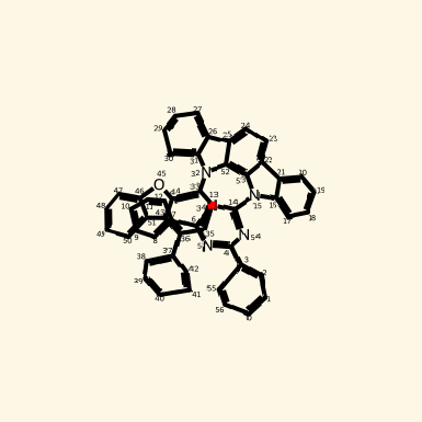 c1ccc(-c2nc(-c3ccccc3)nc(-n3c4ccccc4c4ccc5c6ccccc6n(-c6ccc(-c7ccccc7)c7c6oc6ccccc67)c5c43)n2)cc1